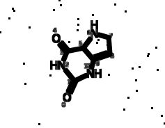 O=C1NC(=O)C2NCC=C2N1